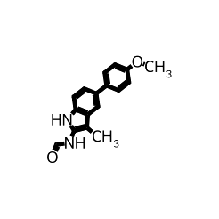 COc1ccc(-c2ccc3[nH]c(NC=O)c(C)c3c2)cc1